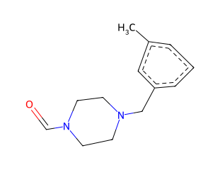 Cc1cccc(CN2CCN(C=O)CC2)c1